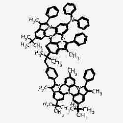 Cc1cc2c3c(c1)-n1c(-c4ccc(CC(C)(C)c5cc6c7c(c5)c(C)c(-c5ccccc5)n7-c5cc(N(c7ccccc7)c7ccccc7)cc7c5B6c5cc(C(C)(C)C)cc6c(C)c(-c8ccccc8)n-7c56)cc4)c(C)c4cc(C(C)(C)C)cc(c41)B3c1cc(C(C)(C)C)cc3c(C)c(-c4ccccc4)n-2c13